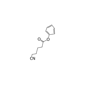 N#CCCCCC(=O)Oc1ccccc1